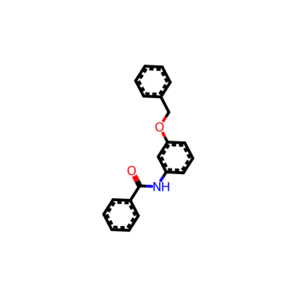 O=C(Nc1cccc(OCc2ccccc2)c1)c1ccccc1